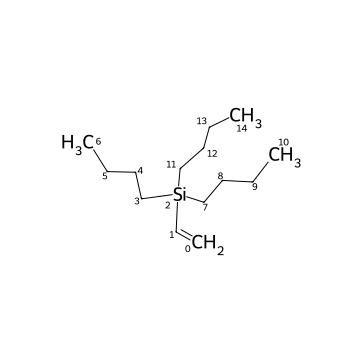 C=C[Si](CCCC)(CCCC)CCCC